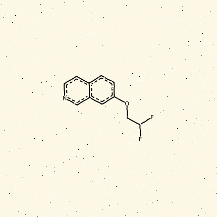 FC(F)COc1ccc2ccncc2c1